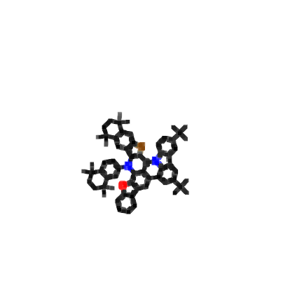 CC(C)(C)c1ccc2c(c1)c1cc(C(C)(C)C)cc3c1n2B1c2sc4cc5c(cc4c2N(c2ccc4c(c2)C(C)(C)CCC4(C)C)c2c1c-3cc1c2oc2ccccc21)C(C)(C)CCC5(C)C